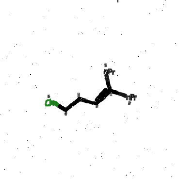 CCCC(=CCCCl)CCC